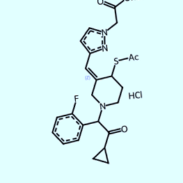 COC(=O)Cn1ccc(/C=C2/CN(C(C(=O)C3CC3)c3ccccc3F)CCC2SC(C)=O)n1.Cl